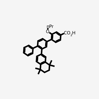 CCCOc1cc(C(=O)O)ccc1-c1ccc(-c2ccccc2)c(-c2ccc3c(c2)C(C)(C)CCC3(C)C)c1